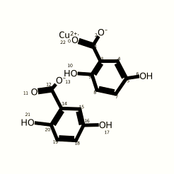 O=C([O-])c1cc(O)ccc1O.O=C([O-])c1cc(O)ccc1O.[Cu+2]